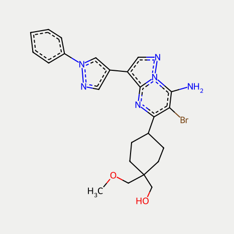 COCC1(CO)CCC(c2nc3c(-c4cnn(-c5ccccc5)c4)cnn3c(N)c2Br)CC1